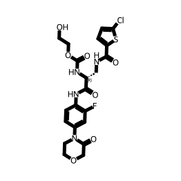 O=C(N[C@H](CNC(=O)c1ccc(Cl)s1)C(=O)Nc1ccc(N2CCOCC2=O)cc1F)OCCO